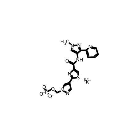 Cn1cc(NC(=O)c2csc(-c3cnn(COP(=O)([O-])[O-])c3)n2)c(-c2ccccn2)n1.[K+].[K+]